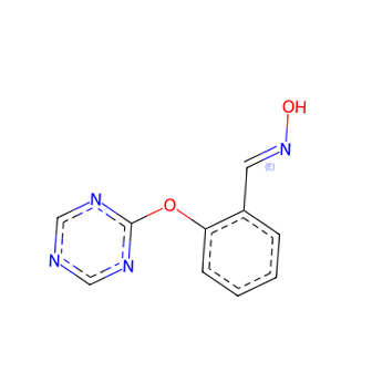 O/N=C/c1ccccc1Oc1ncncn1